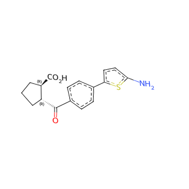 Nc1ccc(-c2ccc(C(=O)[C@@H]3CCC[C@H]3C(=O)O)cc2)s1